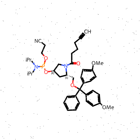 C#CCCCC(=O)N1C[C@H](OP(OCCC#N)N(C(C)C)C(C)C)C[C@H]1COC(c1ccccc1)(c1ccc(OC)cc1)c1ccc(OC)cc1